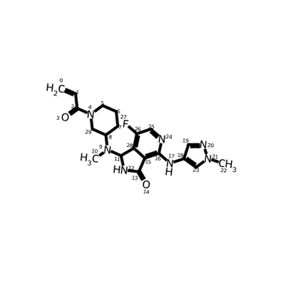 C=CC(=O)N1CCCC(N(C)C2NC(=O)c3c(Nc4cnn(C)c4)ncc(F)c32)C1